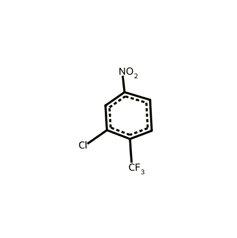 O=[N+]([O-])c1ccc(C(F)(F)F)c(Cl)c1